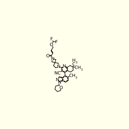 Cc1ccc2c(cnn2C2CCCCO2)c1-c1c(C#N)c(N2CCC3(CN(C(=O)C=CCOC(F)F)C3)C2)nc2c1CCC(C)(C)C2